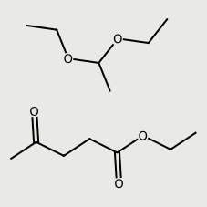 CCOC(=O)CCC(C)=O.CCOC(C)OCC